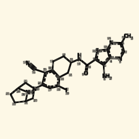 Cc1cnc2c(N)c(C(=O)NC3CCc4c(C#N)c(N5CC6CCC(C5)N6)cc(F)c4C3)sc2n1